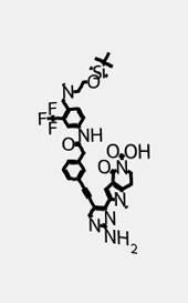 CN(CCO[Si](C)(C)C(C)(C)C)Cc1ccc(NC(=O)Cc2cccc(C#Cc3cnc(N)nc3-c3cc4c(n3C)CCN(C(=O)O)C4=O)c2)cc1C(F)(F)F